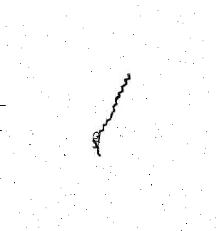 CCCCCCCC=CCCCCCCCCCCCO[Si](C)(C)CCCC